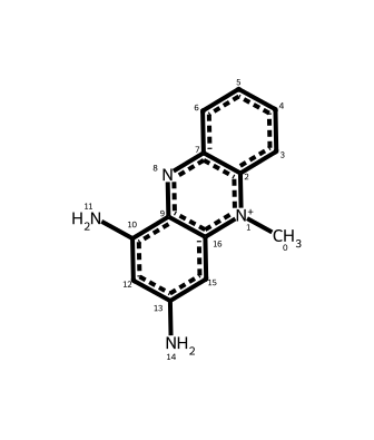 C[n+]1c2ccccc2nc2c(N)cc(N)cc21